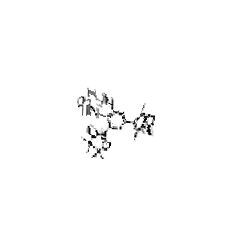 Cc1noc(C)c1-c1cc(N)c(NC=O)c(B2OC(C)(C)C(C)(C)O2)c1